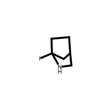 IC12CCC(CN1)C2